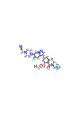 COc1cc(-c2cnn3cc(N4CCN(CC#N)CC4)c(F)cc23)cc2c1C(=O)N(CC(F)(F)F)CC2